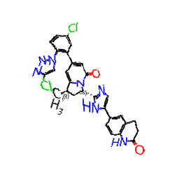 C[C@@H]1C[C@@H](c2ncc(-c3ccc4c(c3)CCC(=O)N4)[nH]2)n2c1cc(-c1cc(Cl)ccc1-n1cc(Cl)nn1)cc2=O